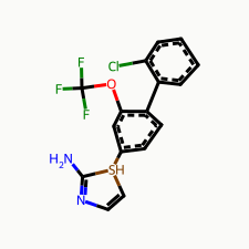 NC1=NC=C[SH]1c1ccc(-c2ccccc2Cl)c(OC(F)(F)F)c1